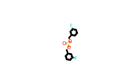 O=S(OCc1cccc(F)c1)OCc1cccc(F)c1